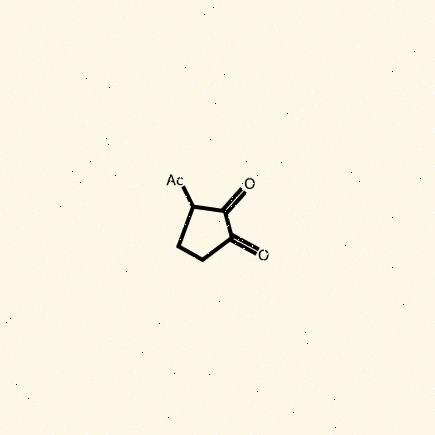 CC(=O)C1CCC(=O)C1=O